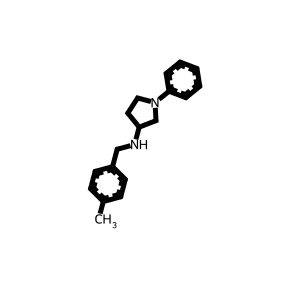 Cc1ccc(CNC2CCN(c3ccccc3)C2)cc1